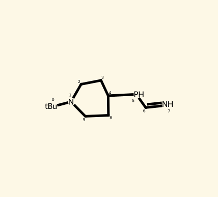 CC(C)(C)N1CCC(PC=N)CC1